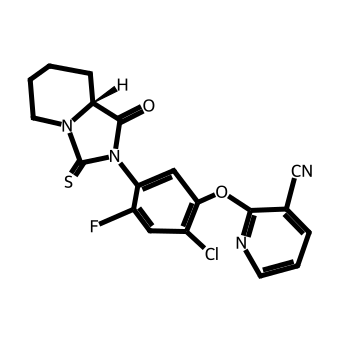 N#Cc1cccnc1Oc1cc(N2C(=O)[C@H]3CCCCN3C2=S)c(F)cc1Cl